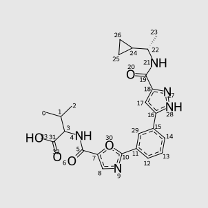 CC(C)C(NC(=O)c1cnc(-c2cccc(-c3cc(C(=O)N[C@@H](C)C4CC4)n[nH]3)c2)o1)C(=O)O